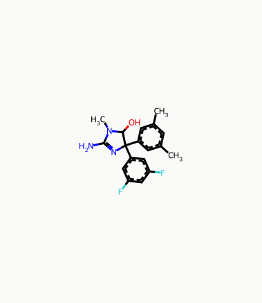 Cc1cc(C)cc(C2(c3cc(F)cc(F)c3)N=C(N)N(C)C2O)c1